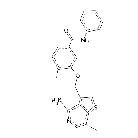 Cc1ccc(C(=O)Nc2ccccc2)cc1OCc1csc2c(C)cnc(N)c12